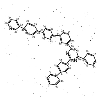 c1ccc(-c2ccc(-c3nc(-c4ccccc4)nc(-c4cccc(-c5ccc(-c6ccc(-c7cccnc7)nc6)cc5)c4)n3)cc2)cc1